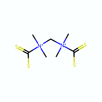 C[N+](C)(C[N+](C)(C)C(=S)[S-])C(=S)[S-]